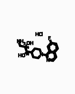 Cl.NC[C@H](O)[C@@H](O)C1CCN(c2nccc3ccc(F)cc23)CC1